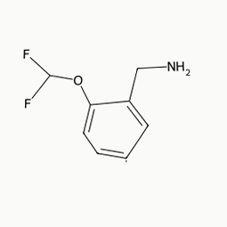 NCc1c[c]ccc1OC(F)F